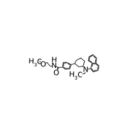 CCN(c1cccc2ccccc12)C1CCCC(c2ccc(C(=O)NCCOC)cc2)C1